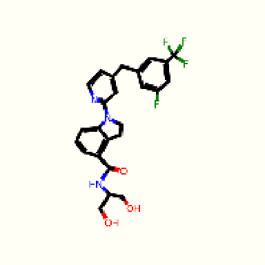 O=C(NC(CO)CO)c1cccc2c1CCN2c1cc(Cc2cc(F)cc(C(F)(F)F)c2)ccn1